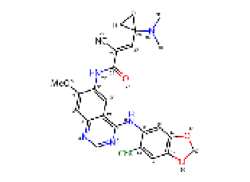 COc1cc2ncnc(Nc3cc4c(cc3Cl)OCO4)c2cc1NC(=O)/C(C#N)=C/C1(N(C)C)CC1